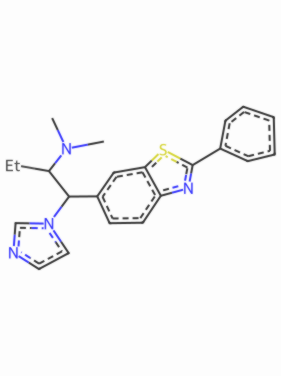 CCC(C(c1ccc2nc(-c3ccccc3)sc2c1)n1ccnc1)N(C)C